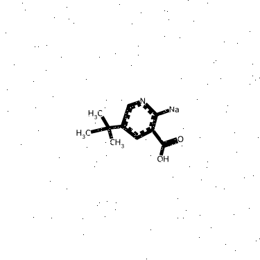 CC(C)(C)c1cn[c]([Na])c(C(=O)O)c1